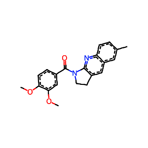 COc1ccc(C(=O)N2CCc3cc4cc(C)ccc4nc32)cc1OC